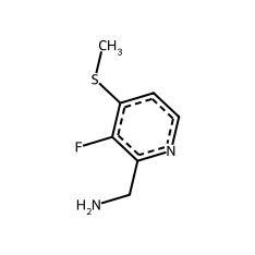 CSc1ccnc(CN)c1F